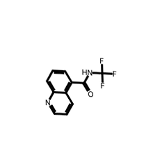 O=C(NC(F)(F)F)c1cccc2ncccc12